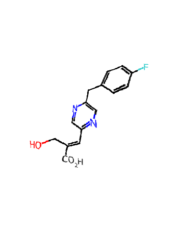 O=C(O)C(=Cc1cnc(Cc2ccc(F)cc2)cn1)CO